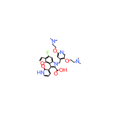 CN(C)CCOc1cc(Cn2c(C(=O)O)c(-c3ccc[nH]c3=O)c3c4occc4c(F)cc32)c(OCCN(C)C)cn1